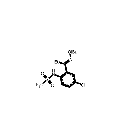 CC/C(=N\OCC(C)C)c1cc(Cl)ccc1NS(=O)(=O)C(F)(F)F